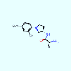 CC[C@H](N)C(=O)N[C@H]1CCN(c2ccc([N+](=O)[O-])cc2C#N)C1